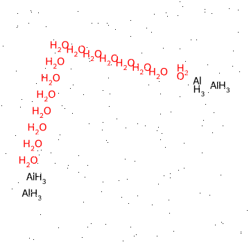 O.O.O.O.O.O.O.O.O.O.O.O.O.O.O.[AlH3].[AlH3].[AlH3].[AlH3]